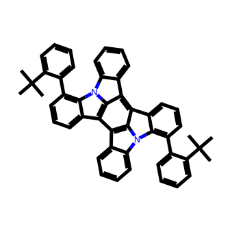 CC(C)(C)c1ccccc1-c1cccc2c3c4c5ccccc5n5c6c(-c7ccccc7C(C)(C)C)cccc6c(c6c7ccccc7n(c12)c63)c45